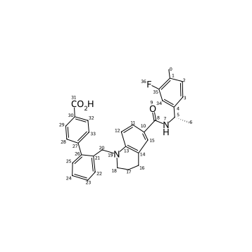 Cc1ccc([C@H](C)NC(=O)c2ccc3c(c2)CCCN3Cc2ccccc2-c2ccc(C(=O)O)cc2)cc1F